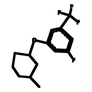 CC1CCCC(Oc2cc(F)cc(C(F)(F)F)c2)C1